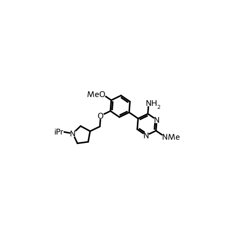 CNc1ncc(-c2ccc(OC)c(OCC3CCN(C(C)C)C3)c2)c(N)n1